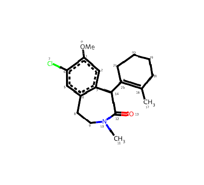 COc1cc2c(cc1Cl)CCN(C)C(=O)C2C1=C(C)CCCC1